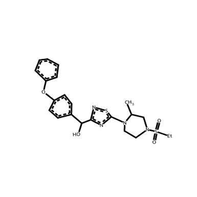 CCS(=O)(=O)N1CCN(c2nc(C(O)c3ccc(Oc4ccccc4)cc3)ns2)C(C)C1